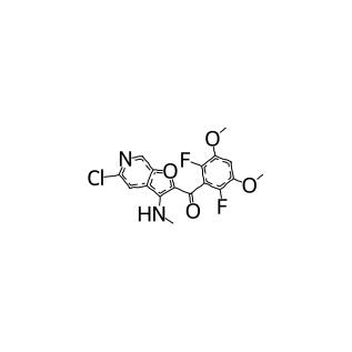 CNc1c(C(=O)c2c(F)c(OC)cc(OC)c2F)oc2cnc(Cl)cc12